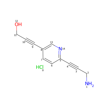 Cl.NCC#Cc1ccc(C#CCO)cn1